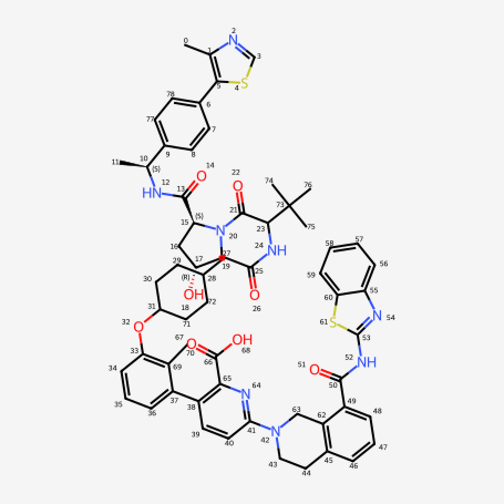 Cc1ncsc1-c1ccc([C@H](C)NC(=O)[C@@H]2C[C@@H](O)CN2C(=O)C(NC(=O)CC2CCC(Oc3cccc(-c4ccc(N5CCc6cccc(C(=O)Nc7nc8ccccc8s7)c6C5)nc4C(=O)O)c3C)CC2)C(C)(C)C)cc1